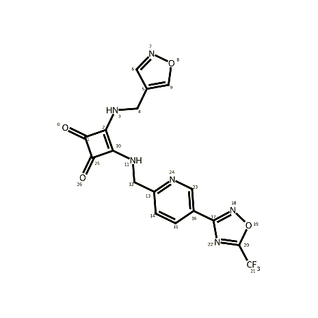 O=c1c(NCc2cnoc2)c(NCc2ccc(-c3noc(C(F)(F)F)n3)cn2)c1=O